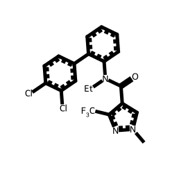 CCN(C(=O)c1cn(C)nc1C(F)(F)F)c1ccccc1-c1ccc(Cl)c(Cl)c1